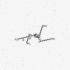 CCCCCCCCCCCCCCCCCC(=O)OCC(COP(=O)(OC)OCCNC(=O)C(CCCNCCCN)NCCCN)OC(=O)CCCCCCCCCCCCCCCCC